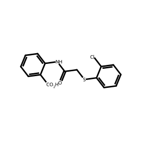 O=C(CSc1ccccc1Cl)Nc1ccccc1C(=O)O